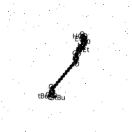 CCc1c2c(nc3ccc(OC(=O)N4CCN(C(=O)CCCCCCCCCCCCCCCCCCC(=O)N5CCC(C(=O)OC(C)(C)C)(C(=O)OC(C)(C)C)CC5)CC4)cc13)-c1cc3c(c(=O)n1C2)COC(=O)[C@]3(O)CC